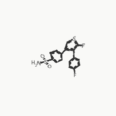 NS(=O)(=O)c1ccc(-c2csc(F)c2-c2ccc(F)cc2)cc1